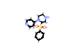 O=S(=O)(c1ccccc1)C1CNCCN1c1ccncc1